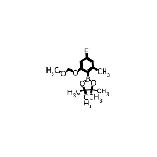 COCOc1cc(F)cc(C)c1B1OC(C)(C)C(C)(C)O1